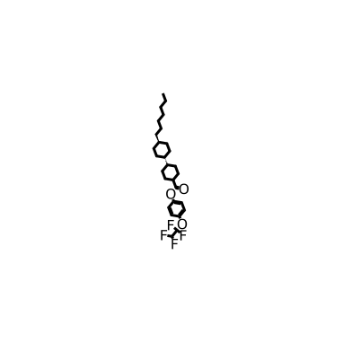 CCCCCCC[C@H]1CC[C@H](C2CCC(C(=O)Oc3ccc(OC(F)(F)C(F)F)cc3)CC2)CC1